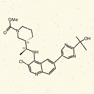 COC(=O)N1CCC[C@H]([C@H](C)Nc2c(Cl)cnc3ccc(-c4cnc(C(C)(C)O)nc4)cc23)C1